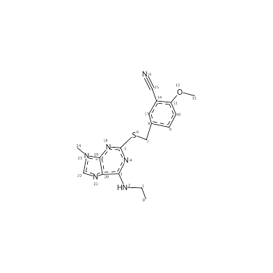 CCNc1nc(SCc2ccc(OC)c(C#N)c2)nc2c1ncn2C